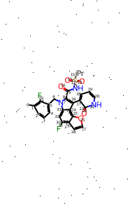 Cc1cccc(Cn2c(C(=O)NS(=O)(=O)C(C)C)c(-c3ccc[nH]c3=O)c3c4occc4c(F)cc32)c1F